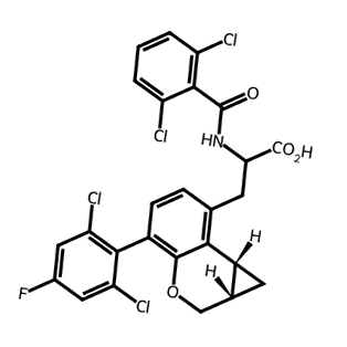 O=C(NC(Cc1ccc(-c2c(Cl)cc(F)cc2Cl)c2c1[C@@H]1C[C@@H]1CO2)C(=O)O)c1c(Cl)cccc1Cl